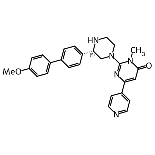 COc1ccc(-c2ccc([C@H]3CN(c4nc(-c5ccncc5)cc(=O)n4C)CCN3)cc2)cc1